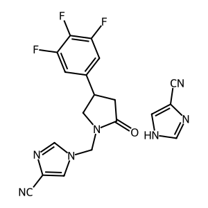 N#Cc1c[nH]cn1.N#Cc1cn(CN2CC(c3cc(F)c(F)c(F)c3)CC2=O)cn1